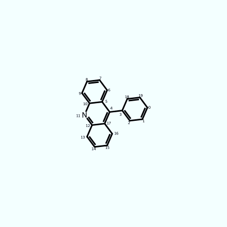 c1ccc(-c2c3ccccc3nc3ccccc23)cc1